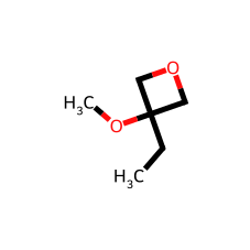 CCC1(OC)COC1